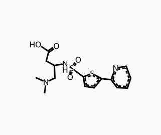 CN(C)CC(CC(=O)O)NS(=O)(=O)c1ccc(-c2ccccn2)s1